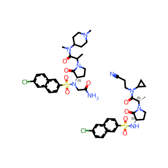 CC(C(=O)N(C)C1CCN(C)CC1)N1CC[C@H](N(CC(N)=O)S(=O)(=O)c2ccc3cc(Cl)ccc3c2)C1=O.C[C@@H](C(=O)N(CCC#N)C1CC1)N1CC[C@H](NS(=O)(=O)c2ccc3cc(Cl)ccc3c2)C1=O